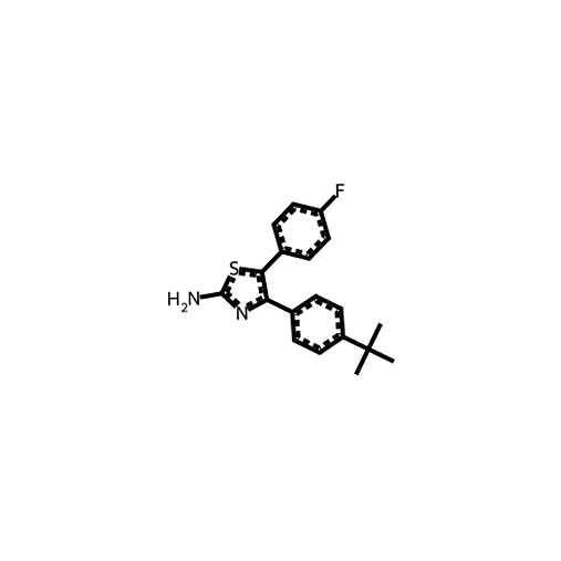 CC(C)(C)c1ccc(-c2nc(N)sc2-c2ccc(F)cc2)cc1